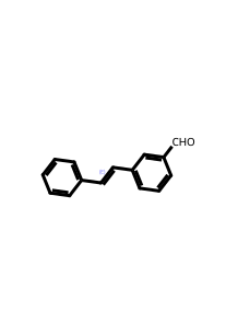 O=Cc1cccc(/C=C/c2ccccc2)c1